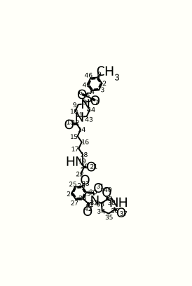 Cc1ccc(S(=O)(=O)N2CCN(C(=O)CCCCCNC(=O)COc3cccc4c3C(=O)N(C3CCC(=O)NC3=O)C4=O)CC2)cc1